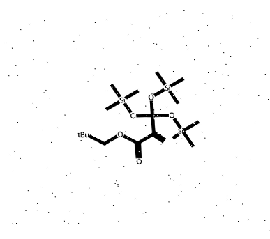 C=C(C(=O)OCC(C)(C)C)C(O[Si](C)(C)C)(O[Si](C)(C)C)O[Si](C)(C)C